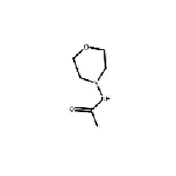 [CH2]C(=O)NN1CCOCC1